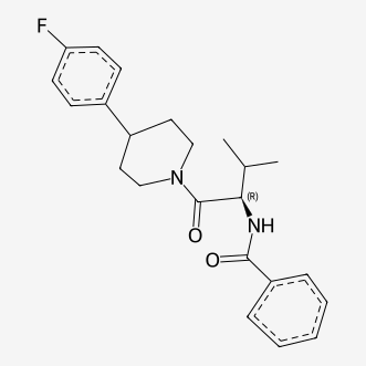 CC(C)[C@@H](NC(=O)c1ccccc1)C(=O)N1CCC(c2ccc(F)cc2)CC1